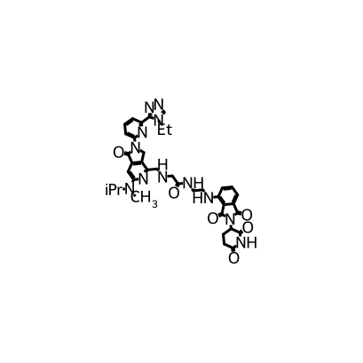 CCn1cnnc1-c1cccc(N2Cc3c(cc(N(C)C(C)C)nc3CNCC(=O)NCCNc3cccc4c3C(=O)N(C3CCC(=O)NC3=O)C4=O)C2=O)n1